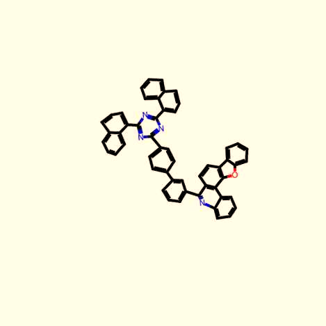 c1cc(-c2ccc(-c3nc(-c4cccc5ccccc45)nc(-c4cccc5ccccc45)n3)cc2)cc(-c2nc3ccccc3c3c2ccc2c4ccccc4oc23)c1